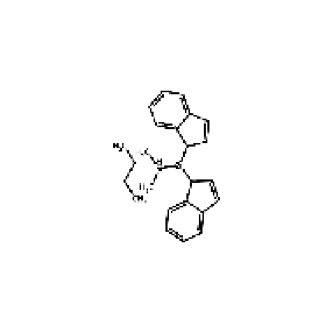 CCCC.C[SiH](C)[Zr]([CH]1C=Cc2ccccc21)[CH]1C=Cc2ccccc21